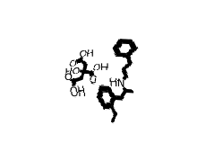 CCc1ccccc1CC(C)NCCCc1ccccc1.O=C(O)CC(O)(CC(=O)O)C(=O)O